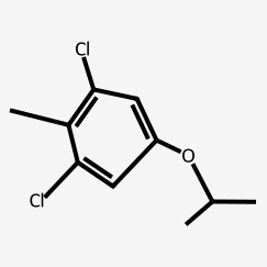 Cc1c(Cl)cc(OC(C)C)cc1Cl